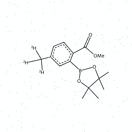 [2H]C([2H])([2H])c1ccc(C(=O)OC)c(B2OC(C)(C)C(C)(C)O2)c1